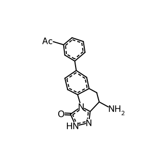 CC(=O)c1cccc(-c2ccc3c(c2)CC(N)c2n[nH]c(=O)n2-3)c1